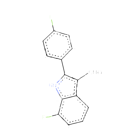 O=Cc1c(-c2ccc(F)cc2)[nH]c2c(F)cccc12